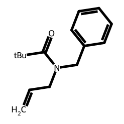 C=CCN(Cc1ccccc1)C(=O)C(C)(C)C